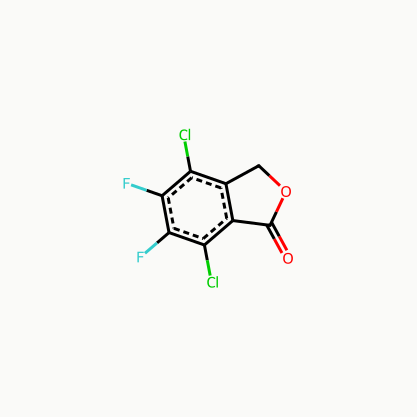 O=C1OCc2c(Cl)c(F)c(F)c(Cl)c21